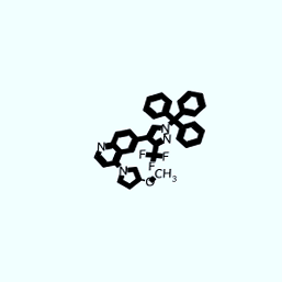 CO[C@@H]1CCN(c2ccnc3ccc(-c4cn(C(c5ccccc5)(c5ccccc5)c5ccccc5)nc4C(F)(F)F)cc23)C1